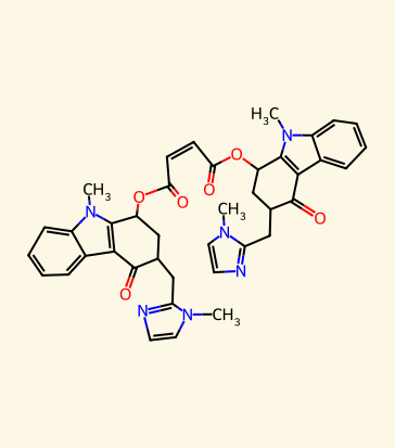 Cn1ccnc1CC1CC(OC(=O)/C=C\C(=O)OC2CC(Cc3nccn3C)C(=O)c3c2n(C)c2ccccc32)c2c(c3ccccc3n2C)C1=O